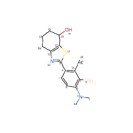 Bc1c(N(C)C)ccc(-c2nc3c(s2)C(O)CCC3)c1C(C)=O